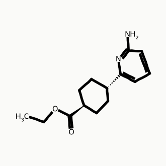 CCOC(=O)[C@H]1CC[C@H](c2cccc(N)n2)CC1